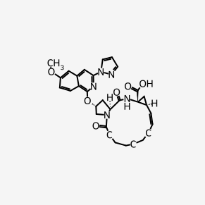 COc1ccc2c(O[C@@H]3C[C@H]4C(=O)N[C@]5(C(=O)O)C[C@H]5/C=C\CCCCCCC(=O)N4C3)nc(-n3cccn3)cc2c1